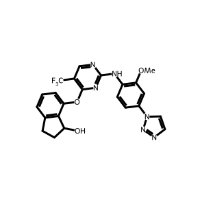 COc1cc(-n2ccnn2)ccc1Nc1ncc(C(F)(F)F)c(Oc2cccc3c2C(O)CC3)n1